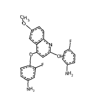 COc1ccc2nc(O)cc(Oc3ccc(N)cc3F)c2c1.Nc1ccc(F)cc1